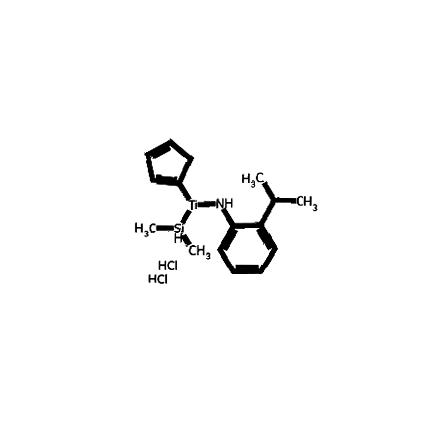 CC(C)c1ccccc1[NH][Ti]([C]1=CC=CC1)[SiH](C)C.Cl.Cl